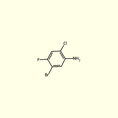 Nc1cc(Br)c(F)cc1Cl